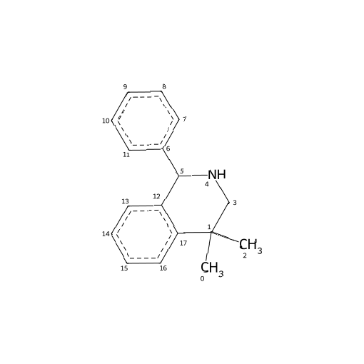 CC1(C)CNC(c2ccccc2)c2ccccc21